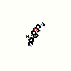 C[C@]12CC=C3C=C4CCC(N5CCC5)C[C@]45CC[C@]3(O5)[C@@H]1CC[C@@H]2c1ccc2ccncc2c1